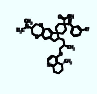 C[C@@H](COc1ccnc2c1[C@H](C)CCC2)C[C@H]1Cc2cc3c(cc2C12CCC(Nc1cccc(Cl)c1)(C(=O)O)CC2)OCC(N(C)C)CO3